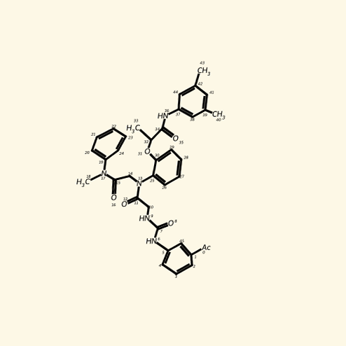 CC(=O)c1cccc(NC(=O)NCC(=O)N(CC(=O)N(C)c2ccccc2)c2ccccc2OC(C)C(=O)Nc2cc(C)cc(C)c2)c1